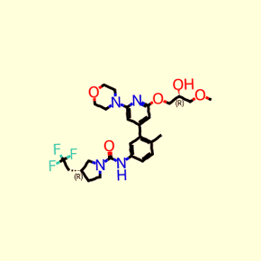 COC[C@@H](O)COc1cc(-c2cc(NC(=O)N3CC[C@H](CC(F)(F)F)C3)ccc2C)cc(N2CCOCC2)n1